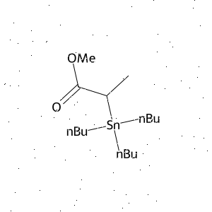 CCC[CH2][Sn]([CH2]CCC)([CH2]CCC)[CH](C)C(=O)OC